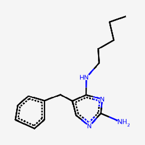 CCCCCNc1nc(N)ncc1Cc1ccccc1